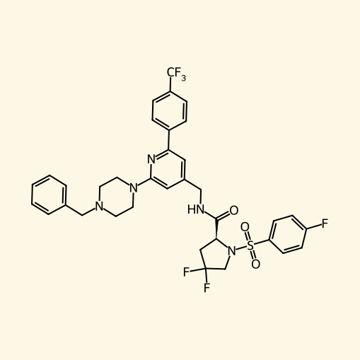 O=C(NCc1cc(-c2ccc(C(F)(F)F)cc2)nc(N2CCN(Cc3ccccc3)CC2)c1)[C@@H]1CC(F)(F)CN1S(=O)(=O)c1ccc(F)cc1